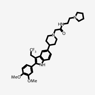 COc1ccc(-c2[nH]c3ccc(C4CCN(CC(=O)NCCN5CCCC5)CC4)cc3c2CC(F)(F)F)cc1OC